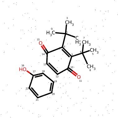 CC(C)(C)C1=C(C(C)(C)C)C(=O)C=CC1=O.Oc1ccccc1